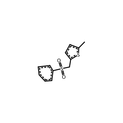 Cc1ccc(CS(=O)(=O)c2ccccc2)s1